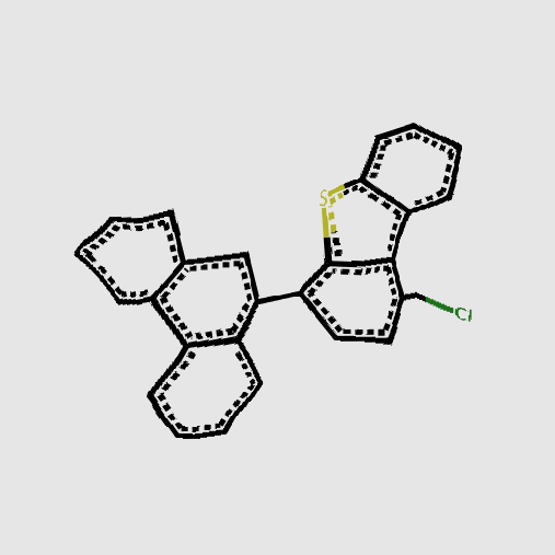 Clc1ccc(-c2cc3ccccc3c3ccccc23)c2sc3ccccc3c12